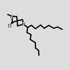 CCCCCCCCC(CCCCCCC)N1CC2(CN(C)C2=O)C1